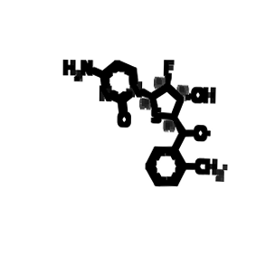 [CH2]c1ccccc1C([O])[C@H]1S[C@@H](n2ccc(N)nc2=O)[C@@H](F)[C@@H]1O